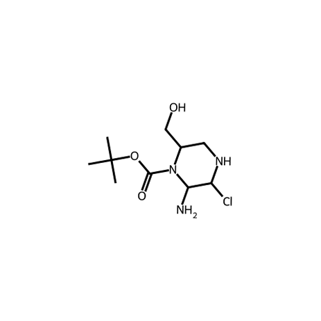 CC(C)(C)OC(=O)N1C(CO)CNC(Cl)C1N